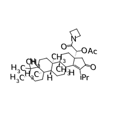 CC(=O)OC(C(=O)N1CCC1)[C@@]12CC[C@]3(C)[C@H](CC[C@@H]4[C@@]5(C)CC[C@H](C)C(C)(C)[C@@H]5CC[C@]43C)C1=C(C(C)C)C(=O)C2